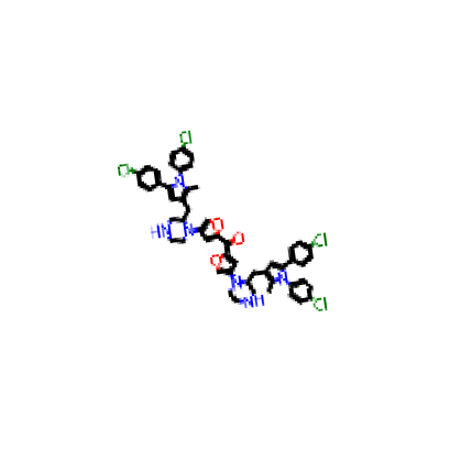 Cc1c(CC2CNCCN2c2coc(C(=O)c3cc(N4CCNCC4Cc4cc(-c5ccc(Cl)cc5)n(-c5ccc(Cl)cc5)c4C)co3)c2)cc(-c2ccc(Cl)cc2)n1-c1ccc(Cl)cc1